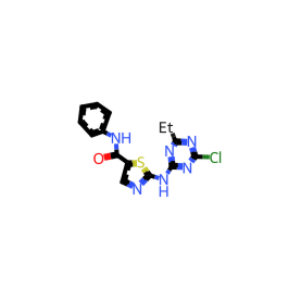 CCc1nc(Cl)nc(Nc2ncc(C(=O)Nc3ccccc3)s2)n1